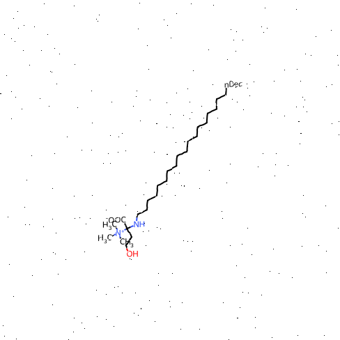 CCCCCCCCCCCCCCCCCCCCCCCCCCCCNC(CCO)(C(=O)[O-])[N+](C)(C)C